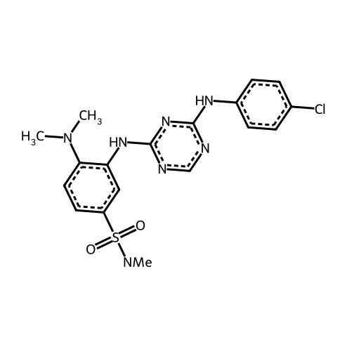 CNS(=O)(=O)c1ccc(N(C)C)c(Nc2ncnc(Nc3ccc(Cl)cc3)n2)c1